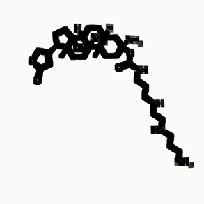 C[C@]12CC[C@](N)(OC(=O)NCCCNCCNCCCN)C[C@H]1CC[C@@H]1[C@]2(N)CC[C@]2(C)[C@@H](C3=CC(=O)OC3)CC[C@]12O